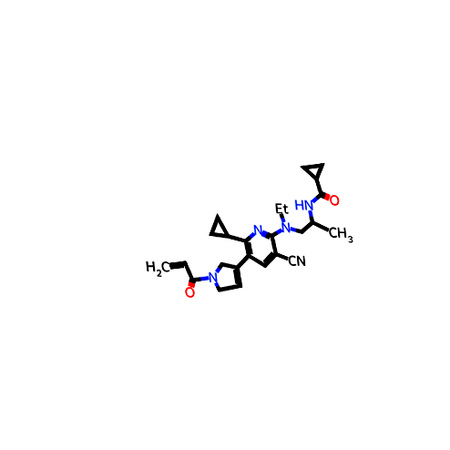 C=CC(=O)N1CC=C(c2cc(C#N)c(N(CC)CC(C)NC(=O)C3CC3)nc2C2CC2)C1